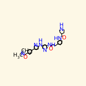 CN(C)C(=O)c1ccc(-c2ccc(Nc3cncc(NC(=O)CCc4cccc(NC(=O)C5CCNCC5)c4)c3)nc2)cc1